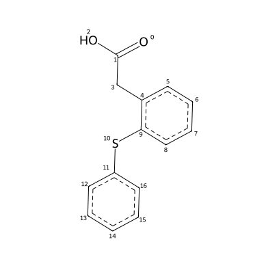 O=C(O)Cc1ccccc1Sc1ccccc1